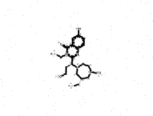 CCC[C@@H](c1nc2ccc(Br)cc2c(=O)n1CC)N1CCN(C)C[C@H](CC)C1